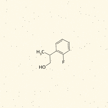 CC(CO)c1ccc[c]c1F